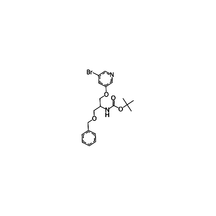 CC(C)(C)OC(=O)NC(COCc1ccccc1)COc1cncc(Br)c1